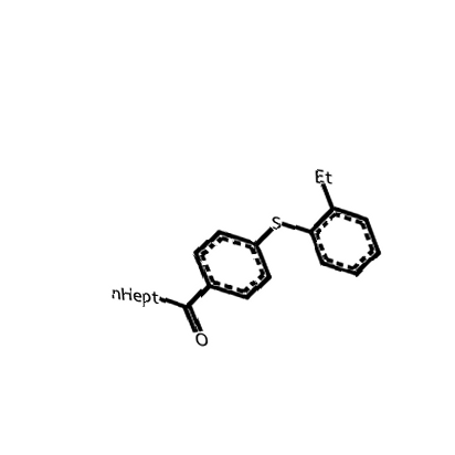 CCCCCCCC(=O)c1ccc(Sc2ccccc2CC)cc1